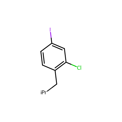 CC(C)Cc1ccc(I)cc1Cl